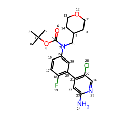 CC(C)(C)OC(=O)N(CC1CCOCC1)c1ccc(F)c(-c2cc(N)ncc2Cl)c1